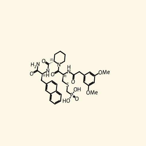 COc1cc(CC(=O)N[C@@H](CSCP(=O)(O)O)C(=O)N2CCCC[C@H]2C(=O)N[C@@H](Cc2ccc3ccccc3c2)C(N)=O)cc(OC)c1